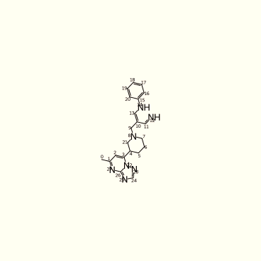 Cc1cc(C2CCCN(C/C(C=N)=C/Nc3ccccc3)C2)n2ncnc2n1